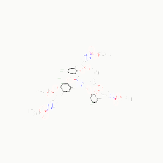 CC(C)(C)OC(=O)[C@@H](Cc1cc(F)cc(CC(=O)N(CCOc2cc(F)cc(C[C@H](C(=O)OC(C)(C)C)[C@H]3CCN(C(=O)OC(C)(C)C)C3)c2)Cc2cc(F)cc(C[C@H](C(=O)OC(C)(C)C)[C@H]3CCN(C(=O)OC(C)(C)C)C3)c2)c1)[C@H]1CCN(C(=O)OC(C)(C)C)C1